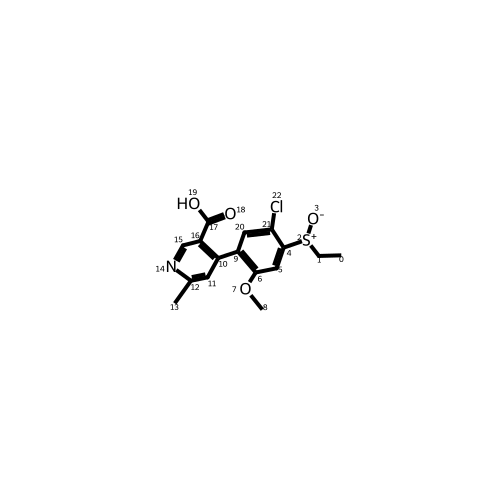 CC[S+]([O-])c1cc(OC)c(-c2cc(C)ncc2C(=O)O)cc1Cl